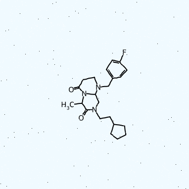 CC1C(=O)N(CCC2CCCC2)CC2N(Cc3ccc(F)cc3)CCC(=O)N12